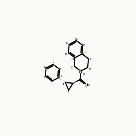 O=C([C@H]1C[C@@H]1c1ccccc1)N1CCc2ccccc2C1